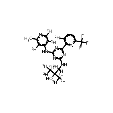 [2H]c1ccc(C(F)(F)F)nc1-c1nc(Nc2c([2H])c([2H])nc(C)c2[2H])nc(NC([2H])([2H])C(O)(C([2H])([2H])[2H])C([2H])([2H])[2H])n1